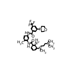 Cc1ccc(NC(=O)c2cc(N3CCOCC3)cc(C(F)(F)F)c2)cc1NC(=O)c1cccc(N(C)CCCN(C)C)c1N